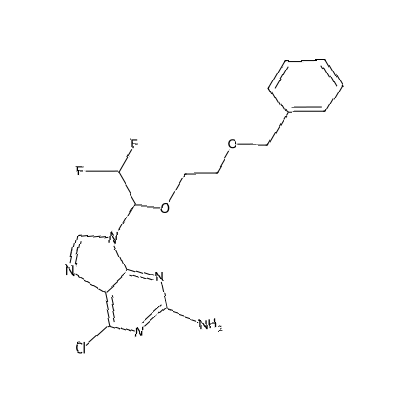 Nc1nc(Cl)c2ncn(C(OCCOCc3ccccc3)C(F)F)c2n1